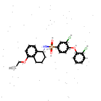 O=C(O)COc1cccc2c1CCC[C@H]2NS(=O)(=O)c1ccc(Oc2ccccc2Cl)c(Cl)c1